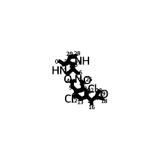 Cc1[nH]c(=O)c(CN2CCc3c(Cl)cc(C(C)C4COC4)c(Cl)c3C2=O)c2[nH]ccc12